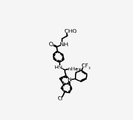 CCCCCCC(Nc1ccc(C(=O)NCCC=O)cc1)c1cc2cc(Cl)ccc2n1C1C=CC=C(C(F)(F)F)C1